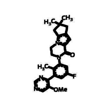 COc1cncnc1-c1cc(F)cc(N2CCn3c(cc4c3CC(C)(C)C4)C2=O)c1C